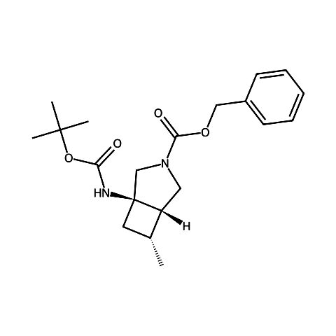 C[C@@H]1C[C@]2(NC(=O)OC(C)(C)C)CN(C(=O)OCc3ccccc3)C[C@H]12